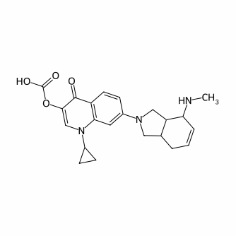 CNC1C=CCC2CN(c3ccc4c(=O)c(OC(=O)O)cn(C5CC5)c4c3)CC21